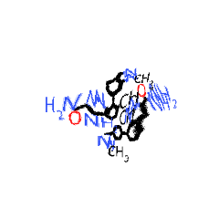 Cc1cc2cnn(C)c2cc1-c1cccc2cc(C(=O)NN)nnc12.Cc1ccc2c(N)c(C(N)=O)nnc2c1-c1ccc2cnn(C)c2c1